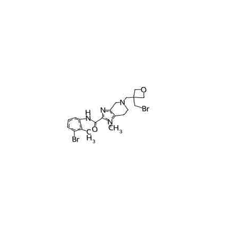 Cc1c(Br)cccc1NC(=O)c1nc2c(n1C)CCN(CC1(CBr)COC1)C2